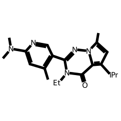 CCn1c(-c2cnc(N(C)C)cc2C)nn2c(C)cc(C(C)C)c2c1=O